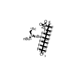 CCCC[S+](CCCC)CC(C)=O.O=S(=O)([O-])C(F)(F)C(F)(F)C(F)(F)C(F)(F)C(F)(F)C(F)(F)C(F)(F)C(F)(F)F